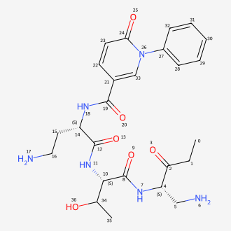 CCC(=O)[C@H](CN)NC(=O)[C@@H](NC(=O)[C@H](CCN)NC(=O)c1ccc(=O)n(-c2ccccc2)c1)C(C)O